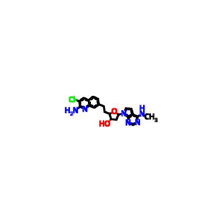 CNc1ncnc2c1ccn2C1C[C@H](O)C(CCc2ccc3cc(Cl)c(N)nc3c2)O1